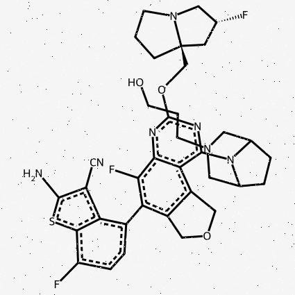 N#Cc1c(N)sc2c(F)ccc(-c3c4c(c5c(N6C7CCC6CN(CCCO)C7)nc(OC[C@@]67CCCN6C[C@H](F)C7)nc5c3F)COC4)c12